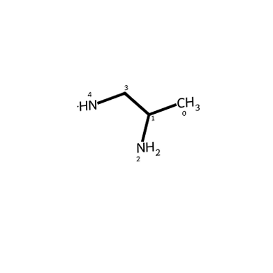 CC(N)C[NH]